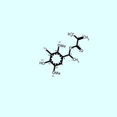 C=C(C)C(=O)OC(C)c1cc(OC)c(O)c(I)c1OC